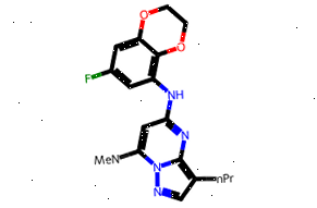 CCCc1cnn2c(NC)cc(Nc3cc(F)cc4c3OCCO4)nc12